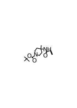 C=CC(=O)NC1(C)CCN(C(=O)OC(C)(C)C)CC1